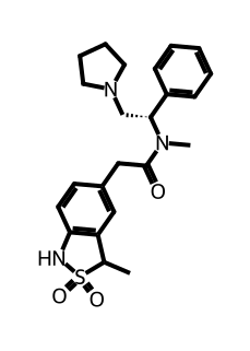 CC1c2cc(CC(=O)N(C)[C@H](CN3CCCC3)c3ccccc3)ccc2NS1(=O)=O